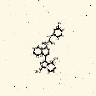 CC(C)(C)c1nc(-c2ccc(NC(=O)Nc3cccc(F)c3)c3ccccc23)c2c(N)nccn12